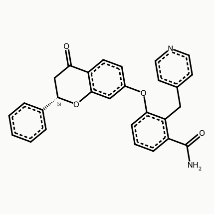 NC(=O)c1cccc(Oc2ccc3c(c2)O[C@H](c2ccccc2)CC3=O)c1Cc1ccncc1